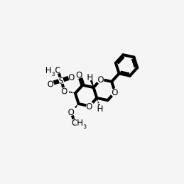 CO[C@H]1O[C@@H]2COC(c3ccccc3)O[C@H]2C(=O)[C@H]1OS(C)(=O)=O